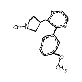 COc1cccc(-c2nccnc2C2CN(Cl)C2)c1